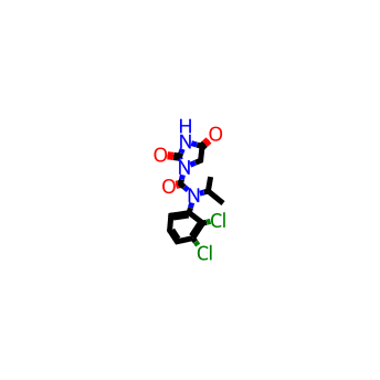 CC(C)N(C(=O)N1CC(=O)NC1=O)c1cccc(Cl)c1Cl